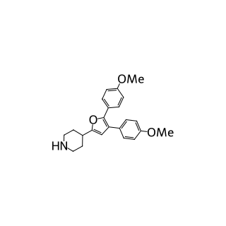 COc1ccc(-c2cc(C3CCNCC3)oc2-c2ccc(OC)cc2)cc1